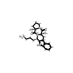 NCCC[C@@H]1c2[nH]c3ccccc3c2C[C@H]2C(=O)N3CCC[C@H]3C(=O)N12